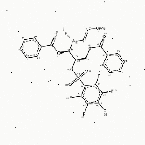 CON=C[C@@H](F)[C@H](OC(=O)c1ccccc1)[C@@H](COC(=O)c1ccccc1)OS(=O)(=O)c1c(F)c(F)c(F)c(F)c1F